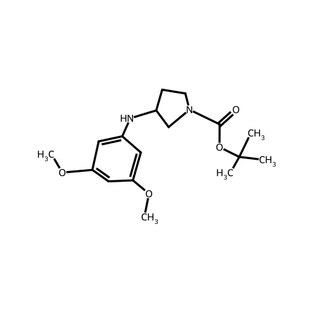 COc1cc(NC2CCN(C(=O)OC(C)(C)C)C2)cc(OC)c1